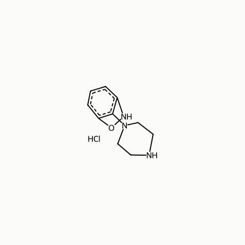 Cl.c1cc2c(N3CCNCC3)c(c1)ON2